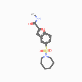 CC(C)NC(=O)c1cc2cc(S(=O)(=O)N3CCCCCC3)ccc2o1